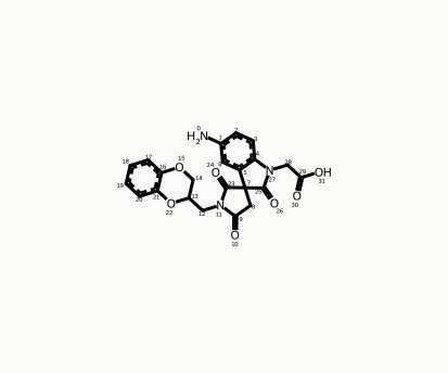 Nc1ccc2c(c1)C1(CC(=O)N(CC3COc4ccccc4O3)C1=O)C(=O)N2CC(=O)O